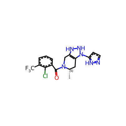 C[C@H]1CC2=C(CN1C(=O)c1cccc(C(F)(F)F)c1Cl)NNN2c1ccn[nH]1